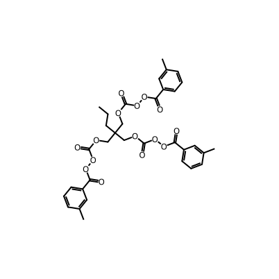 CCCC(COC(=O)OOC(=O)c1cccc(C)c1)(COC(=O)OOC(=O)c1cccc(C)c1)COC(=O)OOC(=O)c1cccc(C)c1